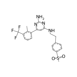 Cc1c(-c2cc(NCCc3ccc(S(C)(=O)=O)cc3)nc(N)n2)cccc1C(F)(F)F